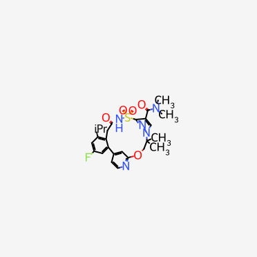 CC(C)c1cc(F)cc2c1CC(=O)NS(=O)(=O)c1nn(cc1C(=O)N(C)C)C(C)(C)COc1cc-2ccn1